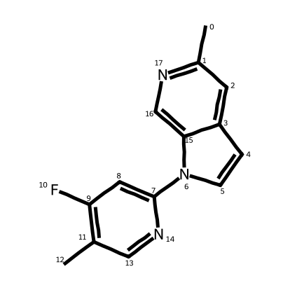 Cc1cc2ccn(-c3cc(F)c(C)cn3)c2cn1